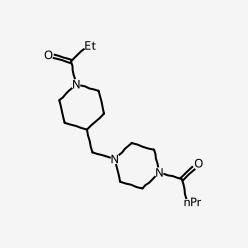 CCCC(=O)N1CCN(CC2CCN(C(=O)CC)CC2)CC1